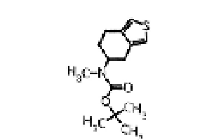 CN(C(=O)OC(C)(C)C)C1CCc2cscc2C1